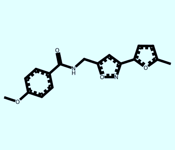 COc1ccc(C(=O)NCc2cc(-c3ccc(C)o3)no2)cc1